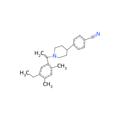 C=C(c1cc(CC)c(C)cc1C)N1CCC(c2ccc(C#N)cc2)CC1